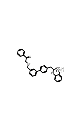 O=C(CNCc1cccc(-c2ccc(CC(Nc3ccccc3C(=O)O)C(=O)O)cc2)c1)c1ccccc1